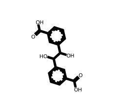 O=C(O)c1cccc(C(O)C(O)c2cccc(C(=O)O)c2)c1